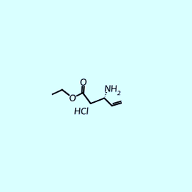 C=C[C@@H](N)CC(=O)OCC.Cl